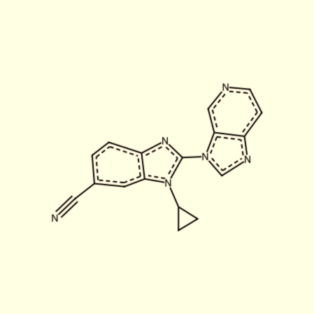 N#Cc1ccc2nc(-n3cnc4ccncc43)n(C3CC3)c2c1